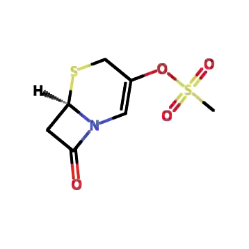 CS(=O)(=O)OC1=CN2C(=O)C[C@H]2SC1